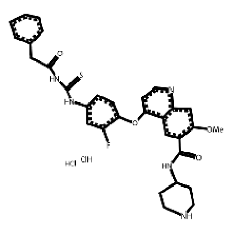 COc1cc2nccc(Oc3ccc(NC(=S)NC(=O)Cc4ccccc4)cc3F)c2cc1C(=O)NC1CCNCC1.Cl.Cl